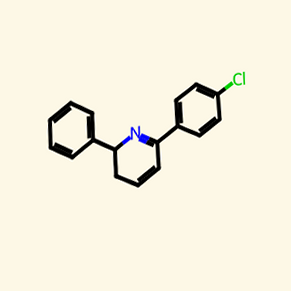 Clc1ccc(C2=NC(c3ccccc3)CC=C2)cc1